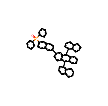 O=P(c1ccccc1)(c1ccccc1)c1ccc2cc(-c3ccc4c(-c5cccc6ccccc56)c5ccccc5c(-c5cccc6ccccc56)c4c3)ccc2c1